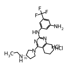 CCN[C@H]1CCN(c2nc(Nc3cc(N)cc(C(F)(F)F)c3)nc3c2CCCC3)C1.Cl.Cl